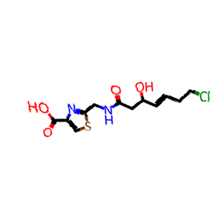 O=C(CC(O)C=CCCCl)NCc1nc(C(=O)O)cs1